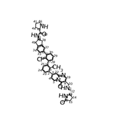 Cc1c(-c2ccn3c(=O)c(CNC[C@@H]4CCC(=O)N4)cnc3c2)cccc1-c1cccc(-c2ccc3c(c2)C[C@@H](NC(=O)C2CCCN2)C3)c1Cl